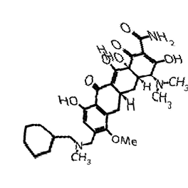 COc1c(CN(C)CC2CCCCC2)cc(O)c2c1C[C@H]1C[C@H]3[C@H](N(C)C)C(O)=C(C(N)=O)C(=O)[C@@]3(O)C(O)=C1C2=O